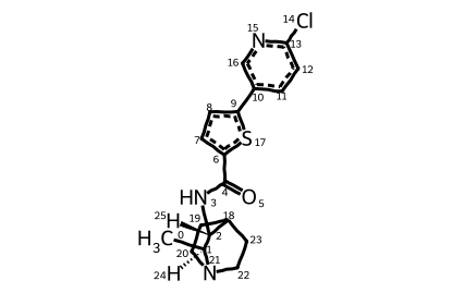 C[C@H]1[C@H](NC(=O)c2ccc(-c3ccc(Cl)nc3)s2)C2CCN1CC2